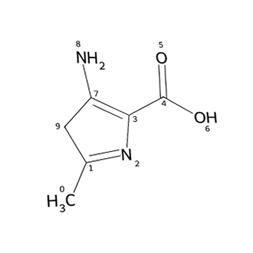 CC1=NC(C(=O)O)=C(N)C1